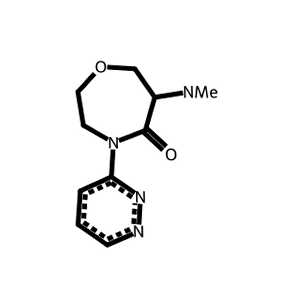 CNC1COCCN(c2cccnn2)C1=O